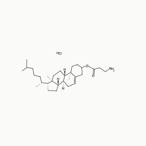 CC(C)CCC[C@@H](C)[C@H]1CC[C@H]2[C@@H]3CC=C4CC(OC(=O)CCN)CC[C@]4(C)[C@H]3CC[C@]12C.Cl